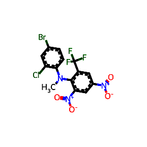 CN(c1ccc(Br)cc1Cl)c1c([N+](=O)[O-])cc([N+](=O)[O-])cc1C(F)(F)F